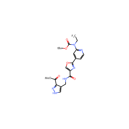 COC(=O)c1n[nH]cc1CNC(=O)c1coc(-c2ccnc(N(CC(F)(F)F)C(=O)OC(C)(C)C)c2)n1